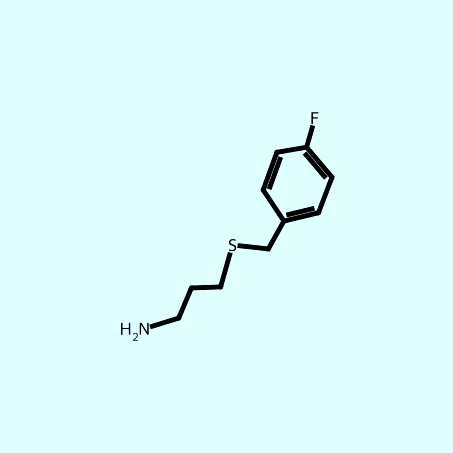 NCCCSCc1ccc(F)cc1